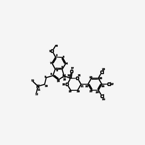 COc1ccc2c(c1)c(CCN(C)C)cn2P1(=O)OCCC(c2cc(Cl)c(Cl)c(Cl)c2)O1